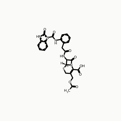 CC(=O)OCC1=C(C(=O)O)N2C(=O)C(NC(=O)Cc3ccccc3NC(=O)n3c(=O)[nH]c4ccccc43)[C@H]2SC1